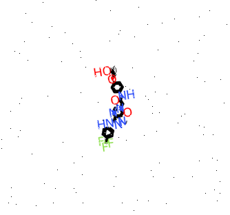 C[C@@H](O)CO[C@H]1CC[C@H](NC(=O)Cn2cnc3c(Nc4ccc(C(F)(F)F)cc4)nn(C)c3c2=O)CC1